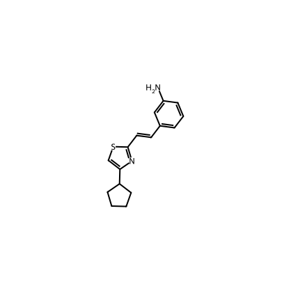 Nc1cccc(/C=C/c2nc(C3CCCC3)cs2)c1